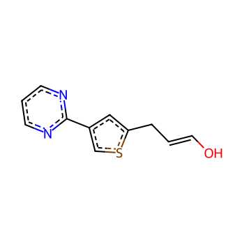 O/C=C/Cc1cc(-c2ncccn2)cs1